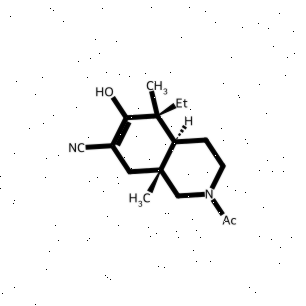 CC[C@]1(C)C(O)=C(C#N)C[C@@]2(C)CN(C(C)=O)CC[C@@H]21